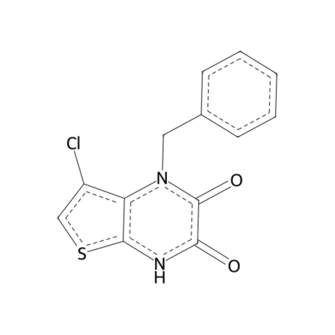 O=c1[nH]c2scc(Cl)c2n(Cc2ccccc2)c1=O